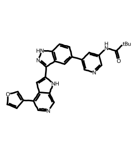 CC(C)(C)C(=O)Nc1cncc(-c2ccc3[nH]nc(-c4cc5c(-c6ccoc6)cncc5[nH]4)c3c2)c1